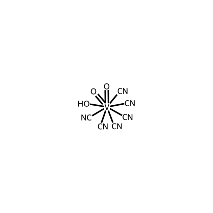 N#[C][V](=[O])(=[O])([OH])([C]#N)([C]#N)([C]#N)([C]#N)[C]#N